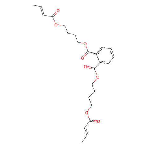 CC=CC(=O)OCCCCOC(=O)c1ccccc1C(=O)OCCCCOC(=O)C=CC